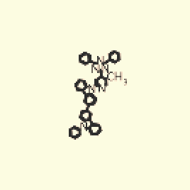 CC1C=NC(n2c3ccccc3c3cc(-c4ccc5c(c4)c4ccccc4n5-c4ccccc4)ccc32)=CC1c1nc(-c2ccccc2)nc(-c2ccccc2)n1